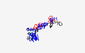 Cc1cc(F)c(Nc2nc(-c3ccc4c(c3)N(C3CC(N5CCCCC5)C3)C(=O)C43CCN(C(=O)CN4CCN(CCCc5cccc(C)c5C(=O)N(C=O)C5CCC(=O)NC5=O)CC4)CC3)cc3ncn(C(C)C)c23)cc1C